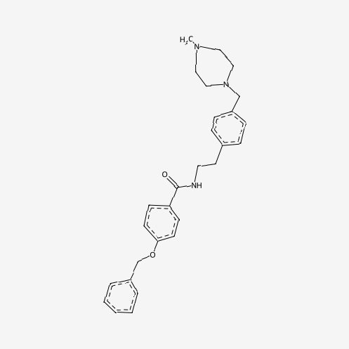 CN1CCN(Cc2ccc(CCNC(=O)c3ccc(OCc4ccccc4)cc3)cc2)CC1